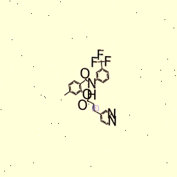 Cc1ccc(C(=O)Nc2cccc(C(F)(F)F)c2)c(OC(=O)/C=C/c2ccnnc2)c1